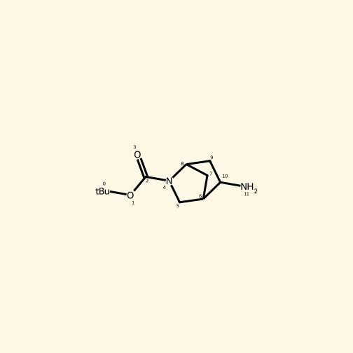 CC(C)(C)OC(=O)N1CC2CC1CC2N